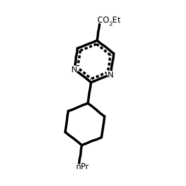 CCCC1CCC(c2ncc(C(=O)OCC)cn2)CC1